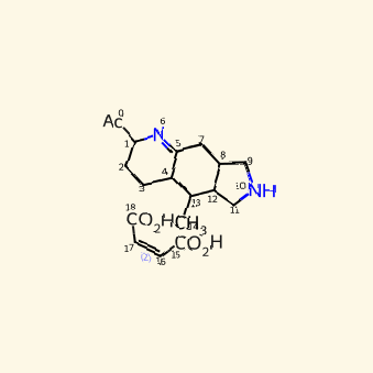 CC(=O)C1CCC2C(=N1)CC1CNCC1C2C.O=C(O)/C=C\C(=O)O